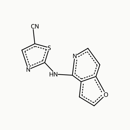 N#Cc1cnc(Nc2nccc3occc23)s1